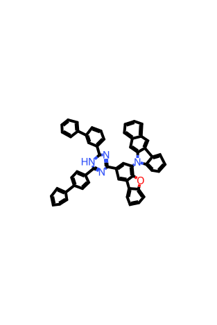 c1ccc(-c2ccc(C3=NC(c4cc(-n5c6ccccc6c6cc7ccccc7cc65)c5oc6ccccc6c5c4)=NC(c4cccc(-c5ccccc5)c4)N3)cc2)cc1